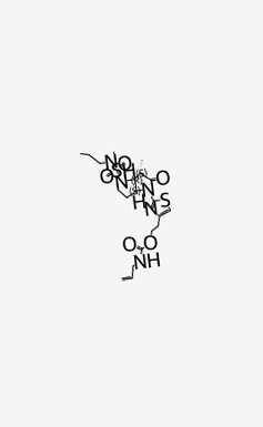 C=CCNC(=O)OCCc1csc(N2C(=O)[C@@H](C)[C@@H]3[C@@H]2CCN3S(=O)(=O)N(C)CCC)n1